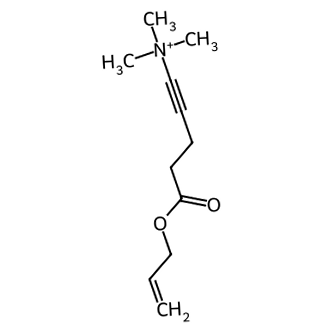 C=CCOC(=O)CCC#C[N+](C)(C)C